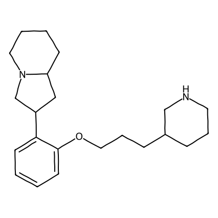 c1ccc(C2CC3CCCCN3C2)c(OCCCC2CCCNC2)c1